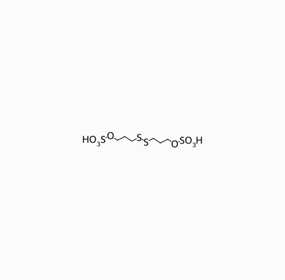 O=S(=O)(O)OCCCSSCCCOS(=O)(=O)O